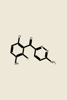 CCCc1ccc(Cl)c(C(=O)c2ccc(N)nn2)c1F